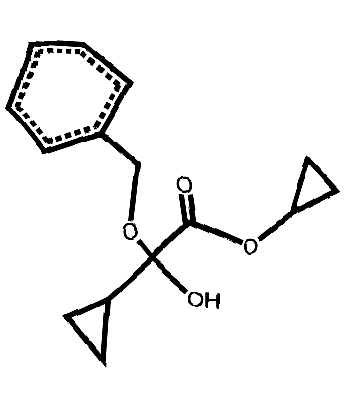 O=C(OC1CC1)C(O)(OCc1ccccc1)C1CC1